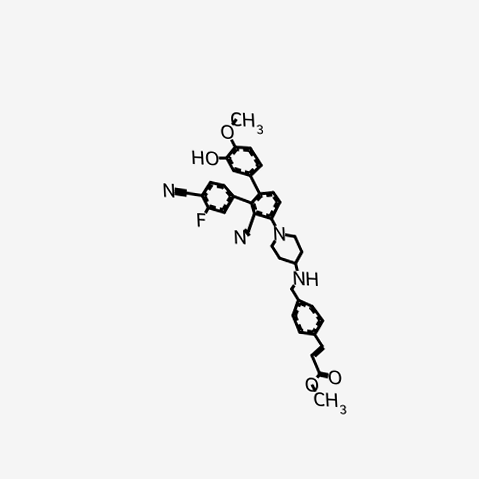 COC(=O)/C=C/c1ccc(CNC2CCN(c3ccc(-c4ccc(OC)c(O)c4)c(-c4ccc(C#N)c(F)c4)c3C#N)CC2)cc1